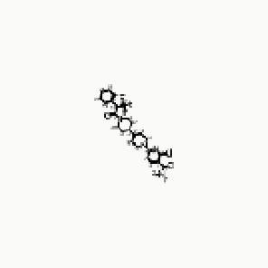 CN(C)C(=O)c1ccc(N2CCC(C3CCN(C(=O)C(c4ccccc4)C(F)(F)F)CC3)CC2)nc1Cl